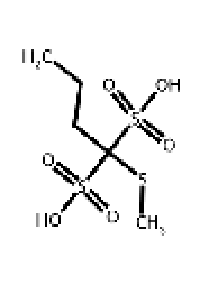 [CH2]CCC(SC)(S(=O)(=O)O)S(=O)(=O)O